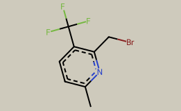 Cc1ccc(C(F)(F)F)c(CBr)n1